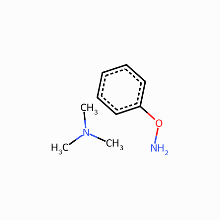 CN(C)C.NOc1ccccc1